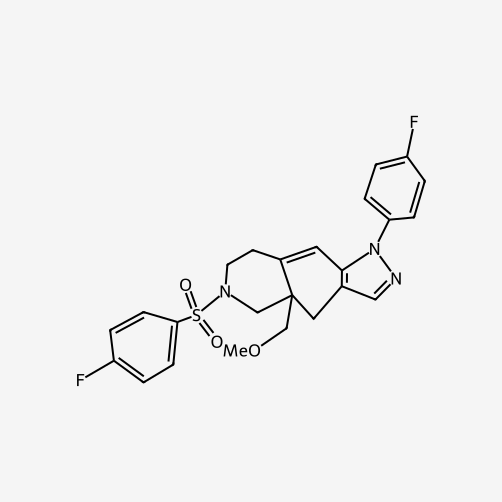 COCC12Cc3cnn(-c4ccc(F)cc4)c3C=C1CCN(S(=O)(=O)c1ccc(F)cc1)C2